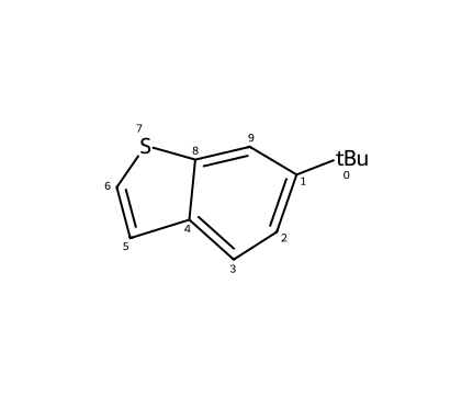 CC(C)(C)c1ccc2ccsc2c1